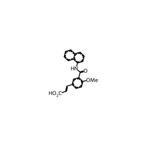 COc1ccc(/C=C/C(=O)O)cc1C(=O)Nc1cccc2ccccc12